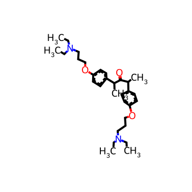 CCN(CC)CCCOc1ccc(C(C)C(=O)C(C)c2ccc(OCCCN(CC)CC)cc2)cc1